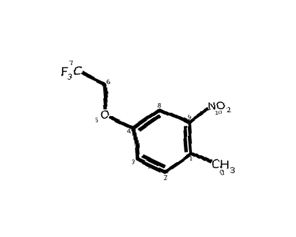 Cc1ccc(OCC(F)(F)F)cc1[N+](=O)[O-]